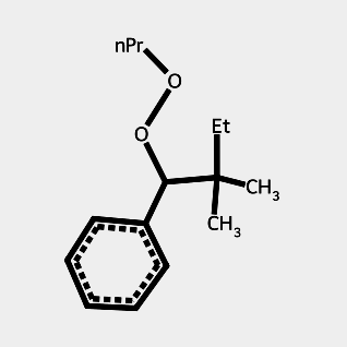 CCCOOC(c1ccccc1)C(C)(C)CC